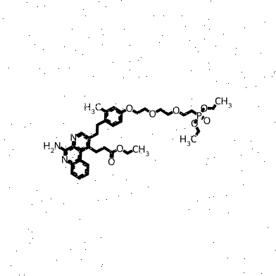 CCOC(=O)CCc1c(CCc2ccc(OCCOCCOCCP(=O)(OCC)OCC)cc2C)cnc2c(N)nc3ccccc3c12